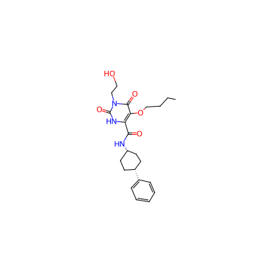 CCCCOc1c(C(=O)N[C@H]2CC[C@@H](c3ccccc3)CC2)[nH]c(=O)n(CCO)c1=O